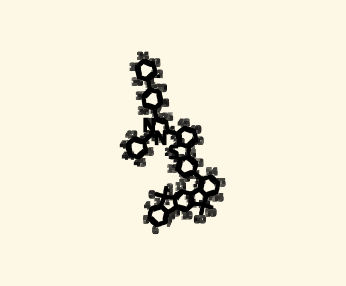 CC1(C)c2ccccc2-c2cc3c(cc21)-c1c(-c2ccc4sc5c(-c6cc(-c7ccc(-c8ccccc8)cc7)nc(-c7ccccc7)n6)cccc5c4c2)cccc1C3(C)C